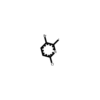 Clc1ccc(Br)c(I)n1